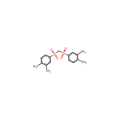 Cc1ccc(S(=O)(=O)CS(=O)(=O)c2ccc(C)c(C)c2)cc1C